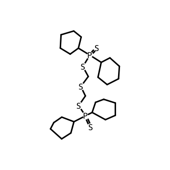 S=P(SCSCSP(=S)(C1CCCCC1)C1CCCCC1)(C1CCCCC1)C1CCCCC1